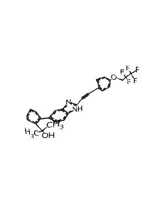 CC(C)(O)c1ccccc1-c1ccc2[nH]c(C#Cc3ccc(OCC(F)(F)C(F)(F)F)cc3)nc2c1